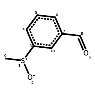 C[S+]([O-])c1cccc(C=O)c1